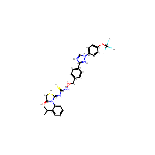 CC(C)c1ccccc1N1C(=O)CS/C1=N\C(=S)NOCc1ccc(-c2ncn(-c3ccc(OC(F)(F)F)cc3)n2)cc1